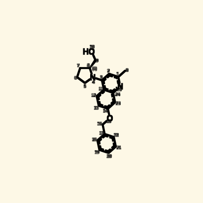 Cc1cc(N2CCC[C@H]2CO)c2ccc(OCc3ccccc3)cc2n1